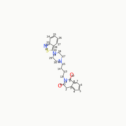 O=C1Cc2ccccc2C(=O)N1CCCCN1CCN(c2snc3ccccc23)CC1